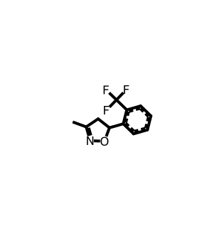 CC1=NOC(c2ccccc2C(F)(F)F)C1